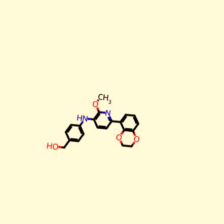 COc1nc(-c2cccc3c2OCCO3)ccc1Nc1ccc(CO)cc1